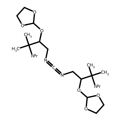 CCCC(C)(C)C(CN=C=NCC(OC1OCCO1)C(C)(C)CCC)OC1OCCO1